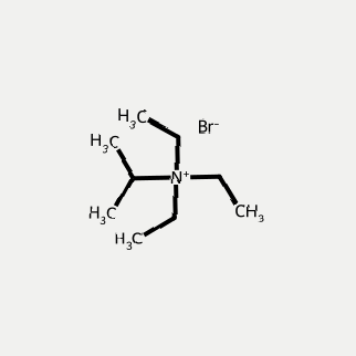 CC[N+](CC)(CC)C(C)C.[Br-]